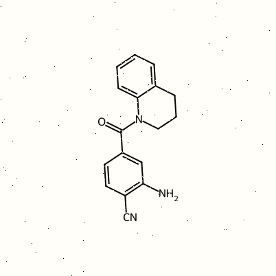 N#Cc1ccc(C(=O)N2CCCc3ccccc32)cc1N